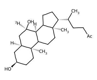 [2H][C@@]1(O)C[C@@H]2C[C@H](O)CC[C@]2(C)C2CC[C@@]3(C)C(CC[C@@H]3C(C)CCC(C)=O)[C@@H]21